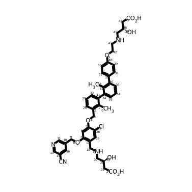 Cc1c(COc2cc(OCc3cncc(C#N)c3)c(CNC[C@@H](O)CC(=O)O)cc2Cl)cccc1-c1cccc(-c2ccc(OCCNC[C@@H](O)CC(=O)O)cc2)c1C